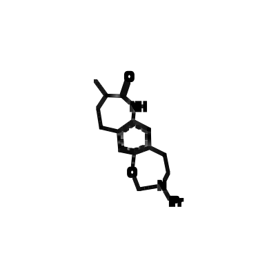 CC1CCc2cc3c(cc2NC1=O)CCN(C(C)C)CO3